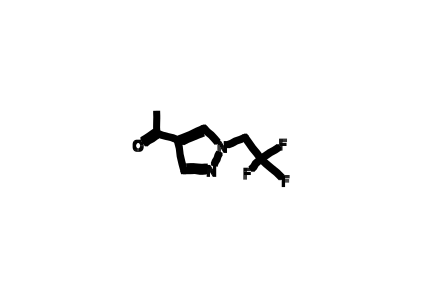 CC(=O)c1cnn(CC(F)(F)F)c1